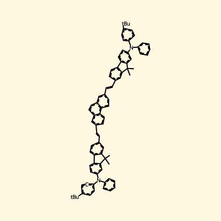 CC(C)(C)c1ccc(N(c2ccccc2)c2ccc3c(c2)C(C)(C)c2cc(/C=C/c4ccc5c(ccc6cc(/C=C/c7ccc8c(c7)C(C)(C)c7cc(N(c9ccccc9)c9ccc(C(C)(C)C)cc9)ccc7-8)ccc65)c4)ccc2-3)cc1